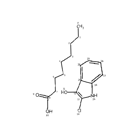 CCCCCCCCC(=O)O.Oc1c(Cl)[nH]c2ccccc12